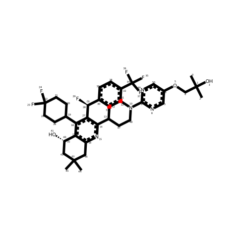 CC(C)(O)COc1cnc(N2CCC(c3nc4c(c(C5CCC(F)(F)CC5)c3[C@@H](F)c3ccc(C(F)(F)F)cc3)[C@@H](O)CC(C)(C)C4)CC2)nc1